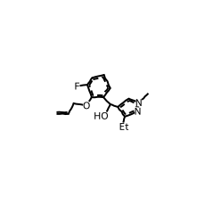 C=CCOc1c(F)cccc1C(O)c1cn(C)nc1CC